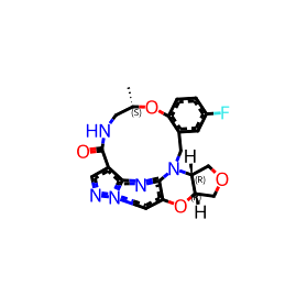 C[C@H]1CNC(=O)c2cnn3cc4c(nc23)N(Cc2cc(F)ccc2O1)[C@@H]1COC[C@@H]1O4